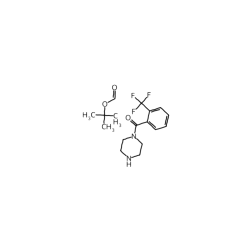 CC(C)(C)OC=O.O=C(c1ccccc1C(F)(F)F)N1CCNCC1